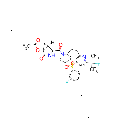 O=C([C@H]1NC(=O)[C@@]2(OC(=O)C(F)(F)F)C[C@@H]12)N1CCC2(S(=O)(=O)c3cccc(F)c3)c3ccc(C(F)(C(F)(F)F)C(F)(F)F)nc3CCC12